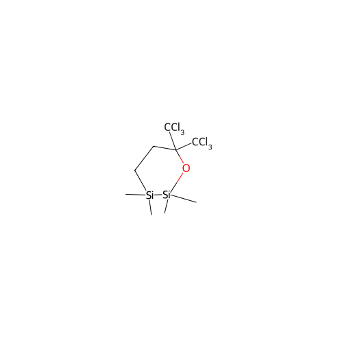 C[Si]1(C)CCC(C(Cl)(Cl)Cl)(C(Cl)(Cl)Cl)O[Si]1(C)C